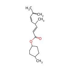 C=C(C)/C=C\C(C)/C=C/C(=O)OC1CCC(C)CC1